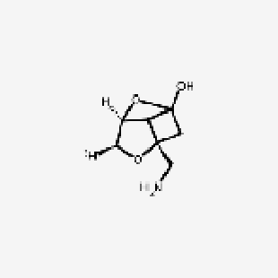 [3H][C@@H]1O[C@@]2(CN)CC3(O)O[C@H]1C32